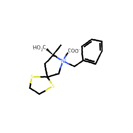 C[C@@]1(C(=O)O)CC2(C[N+]1(Cc1ccccc1)C(=O)[O-])SCCS2